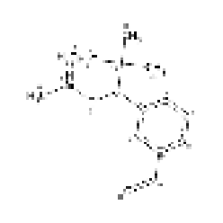 C[SiH](C)OC(c1cccc(C=O)n1)C(C)(C)C